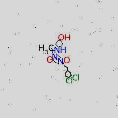 CC(CN1CCN(C(=O)C=Cc2ccc(Cl)c(Cl)c2)CCC1=O)N[C@H]1CC[C@H](O)CC1